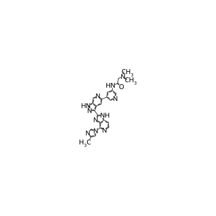 Cc1cn(-c2nccc3[nH]c(-c4n[nH]c5cnc(-c6cncc(NC(=O)CN(C)C)c6)cc45)nc23)cn1